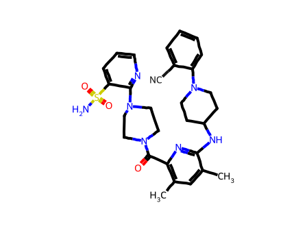 Cc1cc(C)c(C(=O)N2CCN(c3ncccc3S(N)(=O)=O)CC2)nc1NC1CCN(c2ccccc2C#N)CC1